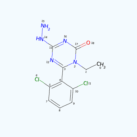 CCn1c(-c2c(Cl)cccc2Cl)nc(NN)nc1=O